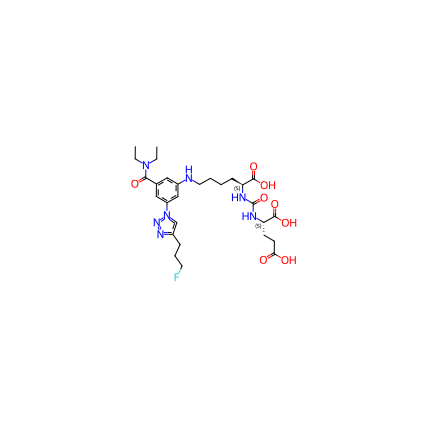 CCN(CC)C(=O)c1cc(NCCCC[C@H](NC(=O)N[C@@H](CCC(=O)O)C(=O)O)C(=O)O)cc(-n2cc(CCCF)nn2)c1